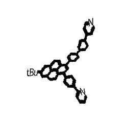 CC(C)(C)c1cc2ccc3c(-c4ccc(C5=CCC(c6ccncc6)C=C5)cc4)cc(-c4ccc(-c5ccccn5)cc4)c4ccc(c1)c2c34